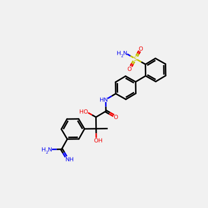 CC(O)(c1cccc(C(=N)N)c1)C(O)C(=O)Nc1ccc(-c2ccccc2S(N)(=O)=O)cc1